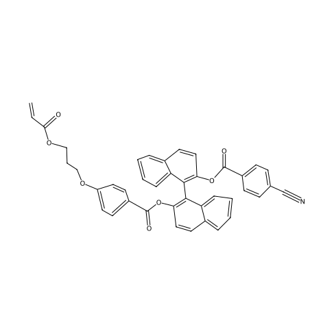 C=CC(=O)OCCCOc1ccc(C(=O)Oc2ccc3ccccc3c2-c2c(OC(=O)c3ccc(C#N)cc3)ccc3ccccc23)cc1